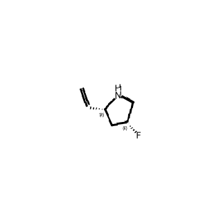 C=C[C@H]1C[C@@H](F)CN1